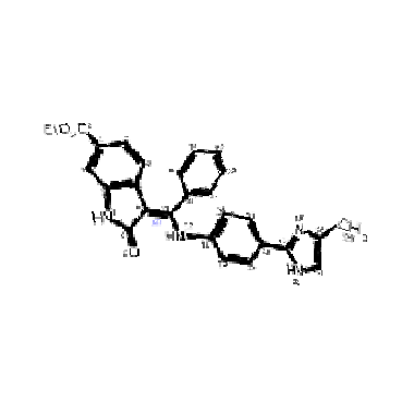 CCOC(=O)c1ccc2c(c1)NC(=O)/C2=C(\Nc1ccc(-c2nc(C)c[nH]2)cc1)c1ccccc1